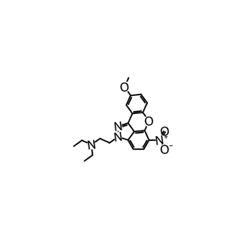 CCN(CC)CCn1nc2c3c(c([N+](=O)[O-])ccc31)Oc1ccc(OC)cc1-2